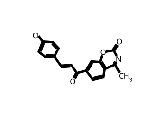 Cc1nc(=O)oc2cc(C(=O)/C=C/c3ccc(Cl)cc3)ccc12